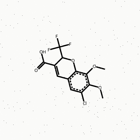 COc1c(Cl)cc2c(c1OC)OC(C(F)(F)F)C(C(=O)O)=C2